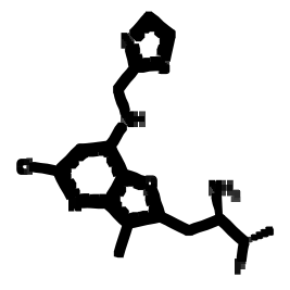 Cc1c(C[C@@H](N)[C@H](C)F)oc2c(NCc3nccs3)cc(Cl)nc12